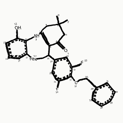 CC1(C)CC(=O)C2=C(C1)Nc1c(O)cccc1NC2c1cc(F)c(OCc2ccccc2)c(F)c1